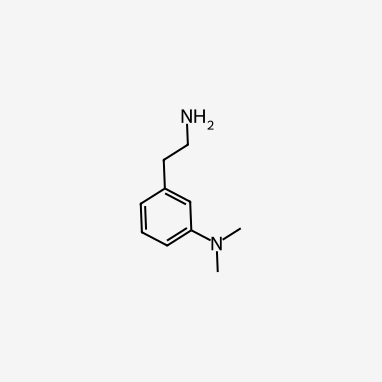 CN(C)c1cccc(CCN)c1